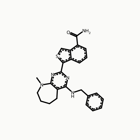 CN1CCCCc2c(NCc3ccccc3)nc(-c3scc4c(C(N)=O)cccc34)nc21